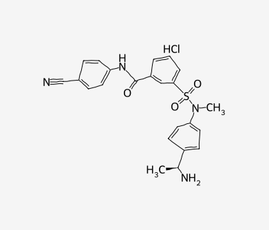 C[C@H](N)c1ccc(N(C)S(=O)(=O)c2cccc(C(=O)Nc3ccc(C#N)cc3)c2)cc1.Cl